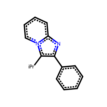 CC(C)c1c(-c2ccccc2)nc2ccccn12